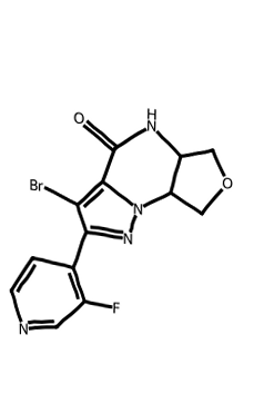 O=C1NC2COCC2n2nc(-c3ccncc3F)c(Br)c21